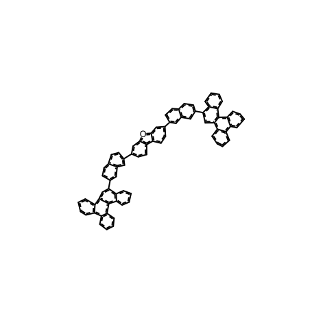 c1ccc2c(c1)c(-c1ccc3ccc(-c4ccc5c(c4)oc4cc(-c6ccc7ccc(-c8cc9c%10ccccc%10c%10ccccc%10c9c9ccccc89)cc7c6)ccc45)cc3c1)cc1c3ccccc3c3ccccc3c21